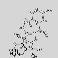 CCOP(C)(=O)C(CCC(=O)c1cccc(F)c1)P(=O)(OCC)OCC